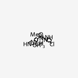 COC[C@H](NC(=O)c1ccc(N2CCNCC2O)c(C)c1)c1nc2cc(Cl)ccc2[nH]1